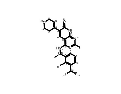 Cc1nc(N[C@H](C)c2cccc(C(F)F)c2F)c2cc(C3=CCOCC3)c(=O)[nH]c2n1